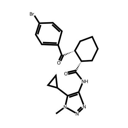 Cn1nnc(NC(=O)[C@H]2CCCC[C@H]2C(=O)c2ccc(Br)cc2)c1C1CC1